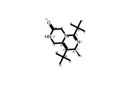 C[C@@H]1N=C(C(C)(C)C)N2CC(=O)NCC2=C1C(C)(C)C